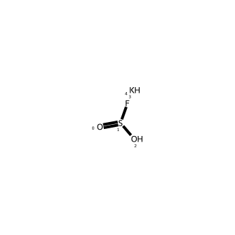 O=S(O)F.[KH]